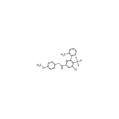 COc1ccc(CNc2cc(Cl)c(C(F)(F)F)c(-c3ccccc3C)n2)cc1